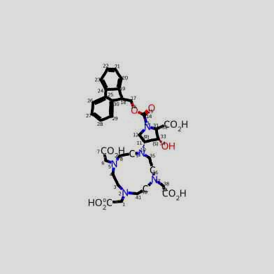 O=C(O)CN1CCN(CC(=O)O)CCN([C@@H]2CN(C(=O)OCC3c4ccccc4-c4ccccc43)C(C(=O)O)[C@H]2O)CCN(CC(=O)O)CC1